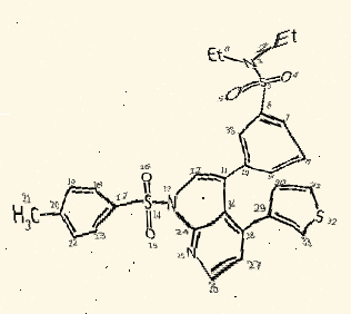 CCN(CC)S(=O)(=O)c1cccc(-c2cn(S(=O)(=O)c3ccc(C)cc3)c3nccc(-c4ccsc4)c23)c1